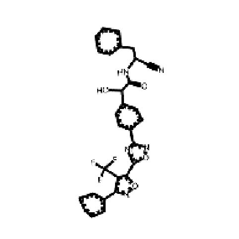 N#CC(Cc1ccccc1)NC(=O)C(O)c1ccc(-c2noc(-c3onc(-c4ccccc4)c3C(F)(F)F)n2)cc1